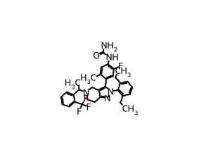 CCc1cccc(CC)c1-n1nc2c(c1-c1cc(F)c(NC(N)=O)cc1C)CN(C(C)c1ccccc1C(F)(F)F)CC2